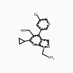 CCn1ncc2c(-c3cncc(Cl)c3)c(CO)c(C3CC3)nc21